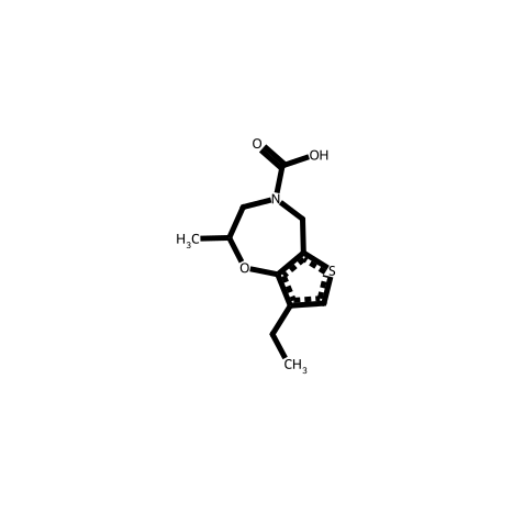 CCc1csc2c1OC(C)CN(C(=O)O)C2